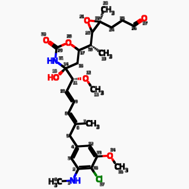 CNc1cc(C/C(C)=C/C=C/[C@@H](OC)[C@@]2(O)CC([C@@H](C)C3O[C@@]3(C)CCC=O)OC(=O)N2)cc(OC)c1Cl